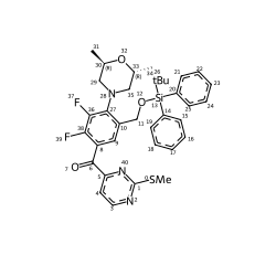 CSc1nccc(C(=O)c2cc(CO[Si](c3ccccc3)(c3ccccc3)C(C)(C)C)c(N3C[C@@H](C)O[C@H](C)C3)c(F)c2F)n1